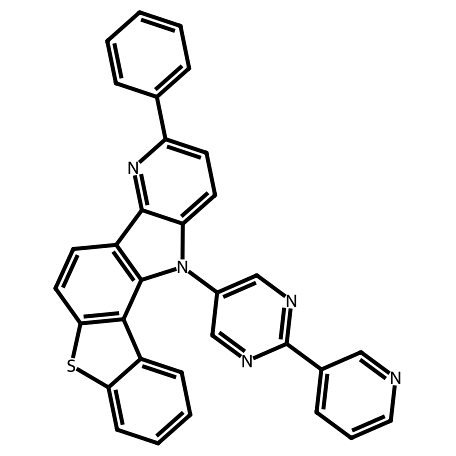 c1ccc(-c2ccc3c(n2)c2ccc4sc5ccccc5c4c2n3-c2cnc(-c3cccnc3)nc2)cc1